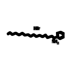 Br.CCCCCCCCCCCCCCCCC(N)c1ccccc1